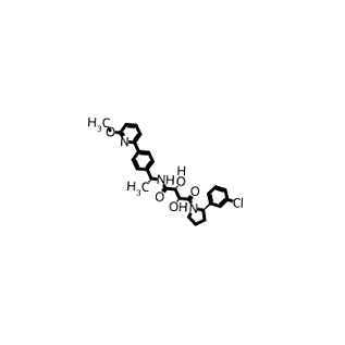 COc1cccc(-c2ccc([C@@H](C)NC(=O)[C@H](O)[C@@H](O)C(=O)N3CCC[C@@H]3c3cccc(Cl)c3)cc2)n1